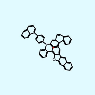 c1ccc(N(c2ccc(-c3cccc4ccccc34)cc2)c2ccc3c(ccc4ccccc43)c2)c(-c2cccc3c2oc2cc4ccccc4cc23)c1